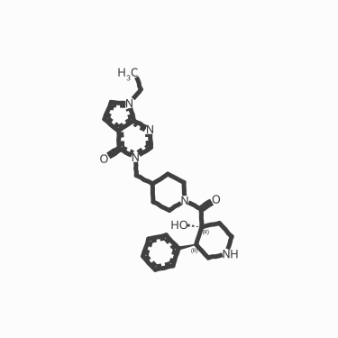 CCn1ccc2c(=O)n(CC3CCN(C(=O)[C@@]4(O)CCNC[C@H]4c4ccccc4)CC3)cnc21